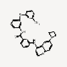 Cc1cc(Oc2cccc(NC(=O)c3cccc(Nc4ccnc5ccc(N6CCC6)cc45)c3)c2)ccn1